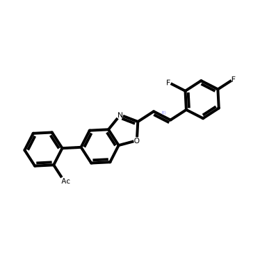 CC(=O)c1ccccc1-c1ccc2oc(/C=C/c3ccc(F)cc3F)nc2c1